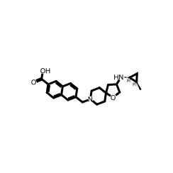 C[C@@H]1C[C@H]1NC1COC2(CCN(Cc3ccc4cc(C(=O)O)ccc4c3)CC2)C1